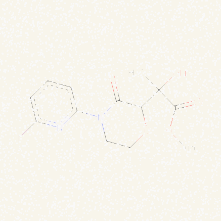 CC(C)(C)OC(=O)C(C)(O)C1OCCN(c2cccc(I)n2)C1=O